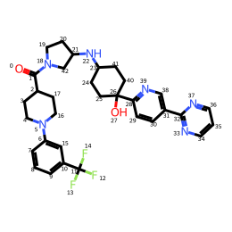 O=C(C1CCN(c2cccc(C(F)(F)F)c2)CC1)N1CCC(NC2CCC(O)(c3ccc(-c4ncccn4)cn3)CC2)C1